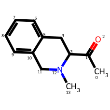 CC(=O)C1Cc2ccccc2CN1C